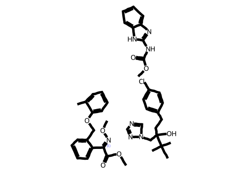 CC(C)(C)C(O)(CCc1ccc(Cl)cc1)Cn1cncn1.CO/N=C(/C(=O)OC)c1ccccc1COc1ccccc1C.COC(=O)Nc1nc2ccccc2[nH]1